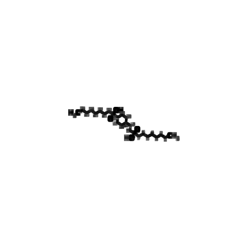 CCCCCCCCP(=O)(O)CCC1CCC(P(=O)(O)CCCCCCCC)CC1